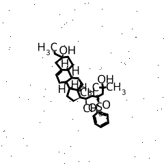 CC[C@]1(O)CC[C@H]2C(=CC[C@@H]3[C@@H]2CC[C@]2(C)[C@@H]([C@H](C)CC(CC(C)(C)O)S(=O)(=O)c4ccccc4)CC[C@@H]32)C1